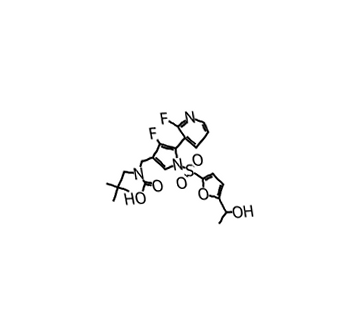 CC(O)c1ccc(S(=O)(=O)n2cc(CN(CC(C)(C)C)C(=O)O)c(F)c2-c2cccnc2F)o1